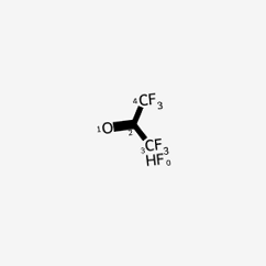 F.O=C(C(F)(F)F)C(F)(F)F